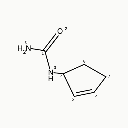 NC(=O)NC1C=CCC1